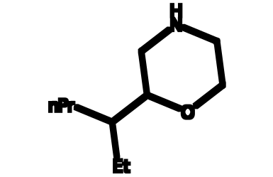 CCCC(CC)C1CNCCO1